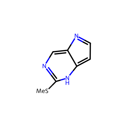 CSc1ncc2nccc-2[nH]1